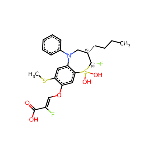 CCCC[C@H]1CN(c2ccccc2)c2cc(SC)c(OC=C(F)C(=O)O)cc2S(O)(O)[C@H]1F